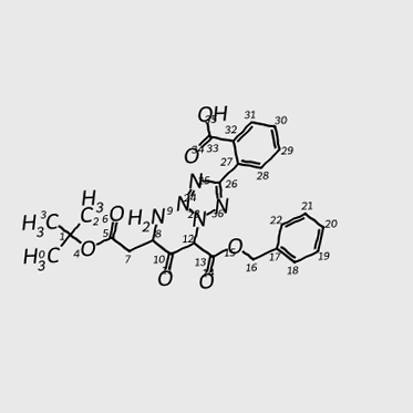 CC(C)(C)OC(=O)CC(N)C(=O)C(C(=O)OCc1ccccc1)n1nnc(-c2ccccc2C(=O)O)n1